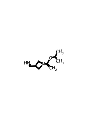 C=C(OC(C)C)N1CC(C=N)C1